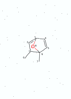 CC1C=C2C=CC1(C)O2